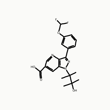 CC(C)(O)C(C)(C)n1nc(-c2cccc(OC(F)F)c2)c2ncc(C(=O)O)cc21